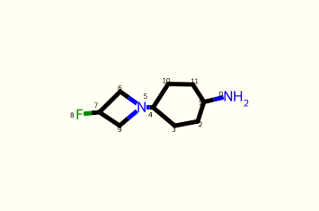 NC1CCC(N2CC(F)C2)CC1